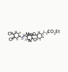 CCOC(=O)CCc1ccc(Oc2ccc(/C=C/c3ccc(Cl)c(Cl)c3)cn2)c(OC)c1